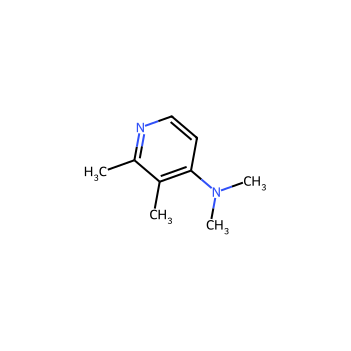 Cc1nccc(N(C)C)c1C